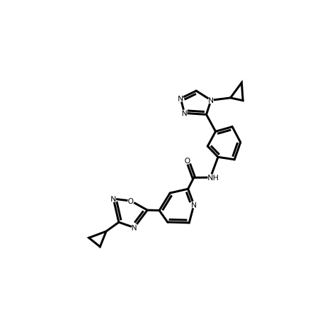 O=C(Nc1cccc(-c2nncn2C2CC2)c1)c1cc(-c2nc(C3CC3)no2)ccn1